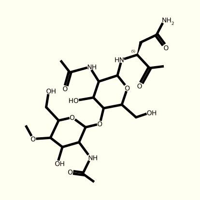 COC1C(CO)OC(OC2C(CO)OC(N[C@@H](CC(N)=O)C(C)=O)C(NC(C)=O)C2O)C(NC(C)=O)C1O